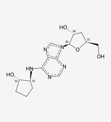 OC[C@@H]1C[C@@H](O)[C@H](n2cnc3c(N[C@H]4CCC[C@@H]4O)ncnc32)O1